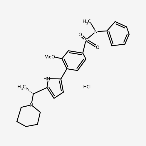 COc1cc(S(=O)(=O)N(C)c2ccccc2)ccc1-c1ccc([C@@H](C)N2CCCCC2)[nH]1.Cl